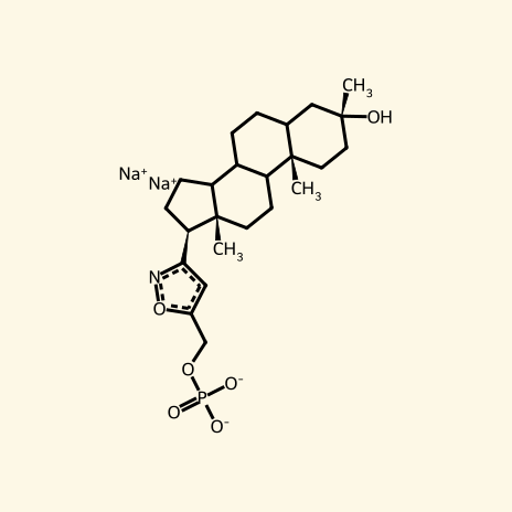 C[C@@]1(O)CC[C@@]2(C)C(CCC3C2CC[C@@]2(C)C3CC[C@@H]2c2cc(COP(=O)([O-])[O-])on2)C1.[Na+].[Na+]